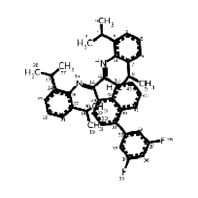 CC(C)c1cccc(C(C)C)c1N=C1C(=Nc2c(C(C)C)cccc2C(C)C)c2ccc(-c3cc(F)cc(F)c3)c3cccc1c23